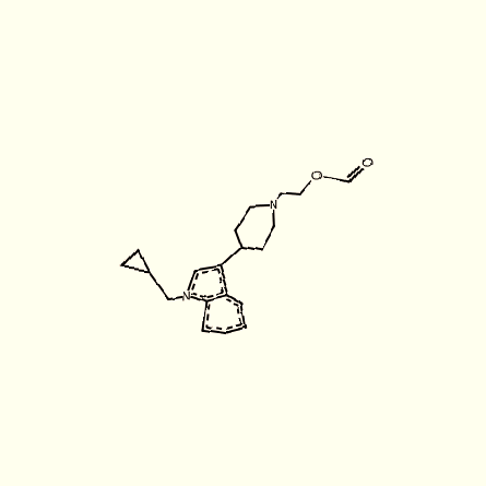 O=COCCN1CCC(c2cn(CC3CC3)c3ccccc23)CC1